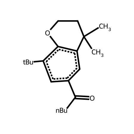 CCCCC(=O)c1cc(C(C)(C)C)c2c(c1)C(C)(C)CCO2